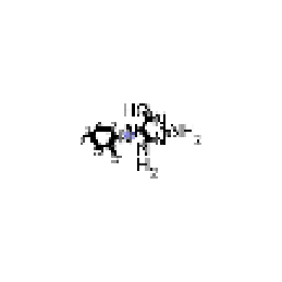 Cc1ccc(/N=N/c2c(N)nc(N)nc2O)c(C)c1